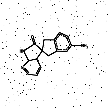 Nc1ccc2c(c1)CC1(C2)C(=O)NC2N=CC=CC21